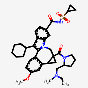 CCN(C)CC1CCCN1C(=O)C12CC1c1cc(OC)ccc1-c1c(C3CCCCC3)c3ccc(C(=O)NS(=O)(=O)C4CC4)cc3n1C2